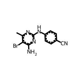 Cc1nc(Nc2ccc(C#N)cc2)nc(N)c1Br